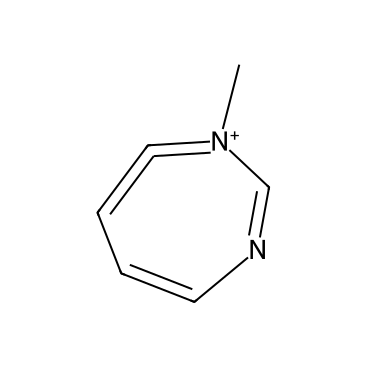 C[N+]1=C=CC=CN=C1